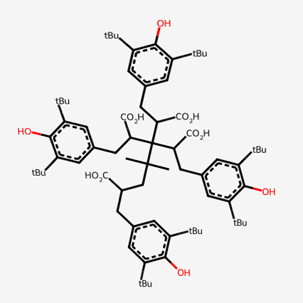 CC(C)(C)c1cc(CC(CC(C)(C)C(C(Cc2cc(C(C)(C)C)c(O)c(C(C)(C)C)c2)C(=O)O)(C(Cc2cc(C(C)(C)C)c(O)c(C(C)(C)C)c2)C(=O)O)C(Cc2cc(C(C)(C)C)c(O)c(C(C)(C)C)c2)C(=O)O)C(=O)O)cc(C(C)(C)C)c1O